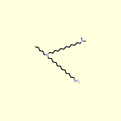 CCCCCN(CCCCCCCCCCCCN)CCCCCCCCCCCCN(C)C